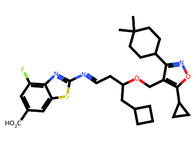 CC1(C)CCC(c2noc(C3CC3)c2COC(C/C=N/c2nc3c(F)cc(C(=O)O)cc3s2)CC2CCC2)CC1